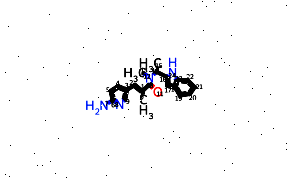 CC(=Cc1ccc(N)nc1)C(=O)N(C)C(C)c1cc2ccccc2[nH]1